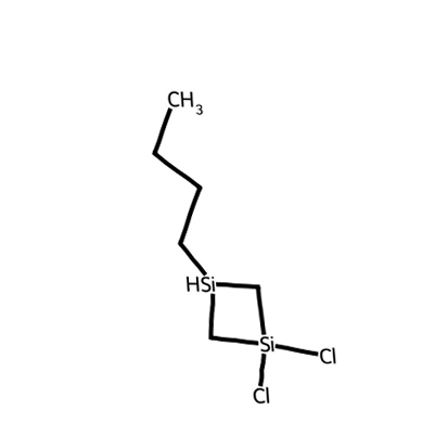 CCCC[SiH]1C[Si](Cl)(Cl)C1